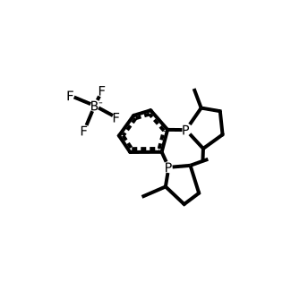 CC1CCC(C)P1c1ccccc1P1C(C)CCC1C.F[B-](F)(F)F